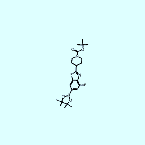 CC(C)(C)OC(=O)N1CCC(c2nc3c(F)cc(B4OC(C)(C)C(C)(C)O4)cc3s2)CC1